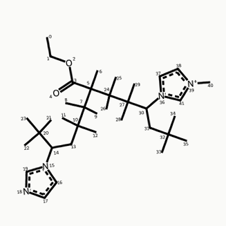 CCOC(=O)C(C)(C(C)(C)C(C)(C)CC(n1ccnc1)C(C)(C)C)C(C)(C)C(C)(C)C(CC(C)(C)C)n1cc[n+](C)c1